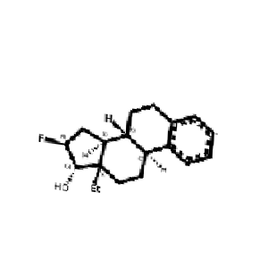 CC[C@]12CC[C@@H]3c4cc[c]cc4CC[C@H]3[C@@H]1C[C@H](F)[C@H]2O